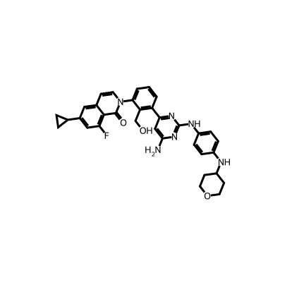 Nc1cc(-c2cccc(-n3ccc4cc(C5CC5)cc(F)c4c3=O)c2CO)nc(Nc2ccc(NC3CCOCC3)cc2)n1